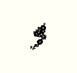 C[C@@H](n1nnn(-c2ccc(OCC(F)(F)F)cc2)c1=O)[C@](O)(Cn1cncn1)c1ccc(F)cc1F